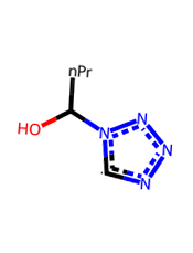 CCCC(O)n1[c]nnn1